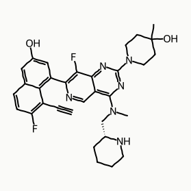 C#Cc1c(F)ccc2cc(O)cc(-c3ncc4c(N(C)C[C@H]5CCCCN5)nc(N5CCC(C)(O)CC5)nc4c3F)c12